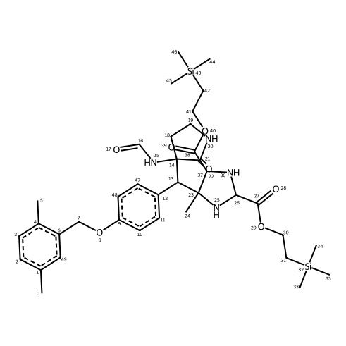 Cc1ccc(C)c(COc2ccc(C(C3(NC=O)CCNC3=O)C3(C)NC(C(=O)OCC[Si](C)(C)C)NC3C(=O)OCC[Si](C)(C)C)cc2)c1